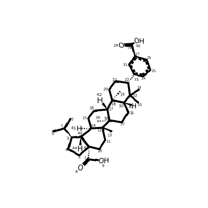 CC(C)[C@@H]1CC[C@]2(C(=O)O)CC[C@]3(C)[C@H](CC[C@@H]4[C@@]5(C)CC[C@H](c6cccc(C(=O)O)c6)C(C)(C)[C@@H]5CC[C@]43C)[C@@H]12